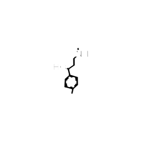 CNCCC(O)c1ccc(C)cc1